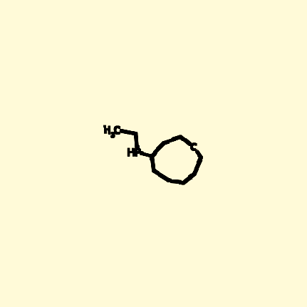 CCPC1CCCCCCCC1